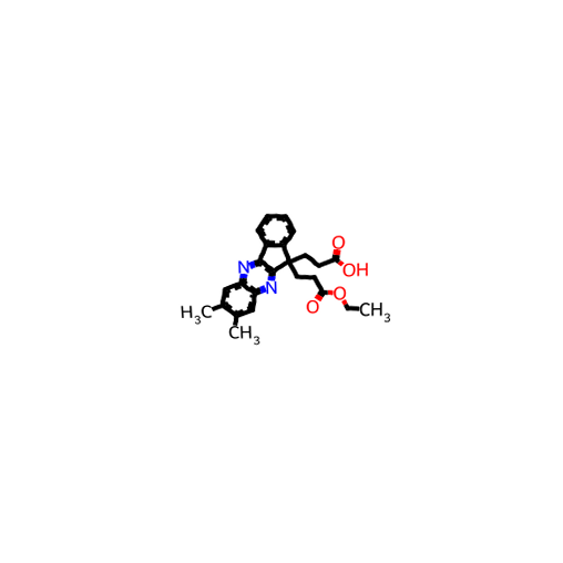 CCOC(=O)CCC1(CCC(=O)O)c2ccccc2-c2nc3cc(C)c(C)cc3nc21